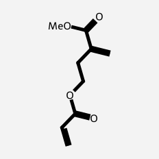 C=CC(=O)OCCC(=C)C(=O)OC